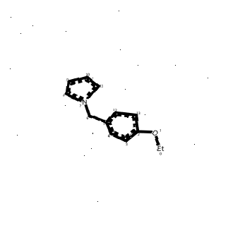 CCOc1ccc(Cn2cccc2)cc1